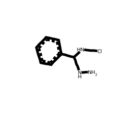 NNC(NCl)c1ccccc1